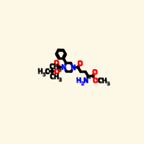 COC(=O)[C@@H](N)CCC(=O)N1CCN(C(=O)OC(C)(C)C)C(c2ccccc2)C1